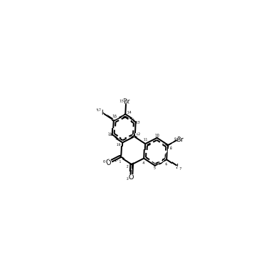 O=C1C(=O)c2cc(I)c(Br)cc2-c2cc(Br)c(I)cc21